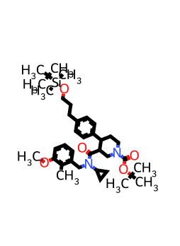 COc1cccc(CN(C(=O)C2CN(C(=O)OC(C)(C)C)CCC2c2ccc(CCCO[Si](C)(C)C(C)(C)C)cc2)C2CC2)c1C